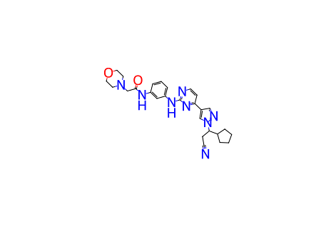 N#CCC(C1CCCC1)n1cc(-c2ccnc(Nc3cccc(NC(=O)CN4CCOCC4)c3)n2)cn1